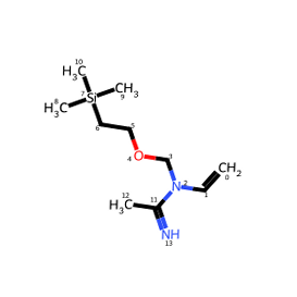 C=CN(COCC[Si](C)(C)C)C(C)=N